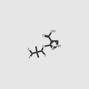 CC(C)(C(F)F)C(F)Oc1n[nH]cc1C(=O)O